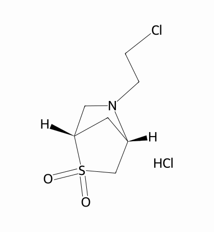 Cl.O=S1(=O)C[C@@H]2C[C@H]1CN2CCCl